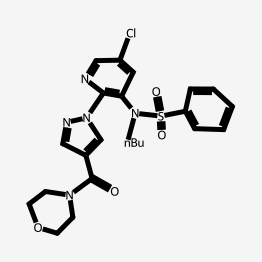 CCCCN(c1cc(Cl)cnc1-n1cc(C(=O)N2CCOCC2)cn1)S(=O)(=O)c1ccccc1